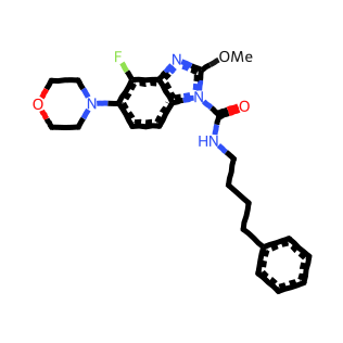 COc1nc2c(F)c(N3CCOCC3)ccc2n1C(=O)NCCCCc1ccccc1